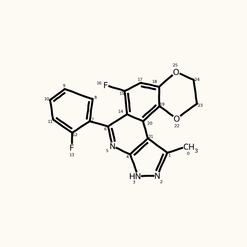 Cc1n[nH]c2nc(-c3ccccc3F)c3c(F)cc4c(c3c12)OCCO4